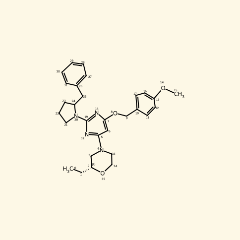 CC[C@@H]1CN(c2cc(OCc3ccc(OC)cc3)nc(N3CCCC3Cc3ccccc3)n2)CCO1